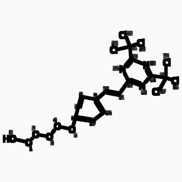 OOOOOOc1ccc(C=Cc2nc(C(Cl)(Cl)Cl)nc(C(Cl)(Cl)Cl)n2)cc1